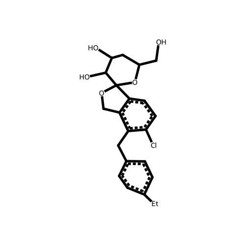 CCc1ccc(Cc2c(Cl)ccc3c2COC32OC(CO)CC(O)C2O)cc1